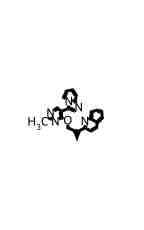 Cc1ncc(-c2cnc3ccccn23)c(OCC2=C(c3ccc4ccccc4n3)C2)n1